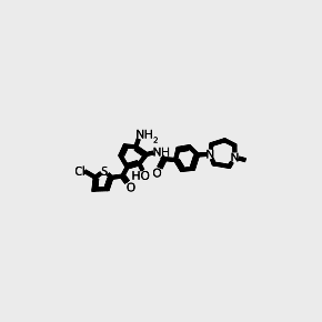 CN1CCCN(c2ccc(C(=O)Nc3c(N)ccc(C(=O)c4ccc(Cl)s4)c3O)cc2)CC1